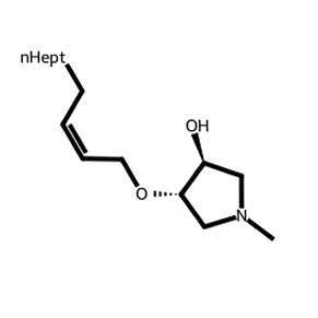 CCCCCCCC/C=C\CO[C@H]1CN(C)C[C@@H]1O